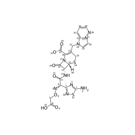 Nc1nc(/C(=N\OCC(=O)O)C(=O)N[C@@H]2C(=O)N3C(C(=O)[O-])=C(Cn4cc[n+]5ncccc45)CS[C@H]23)ns1